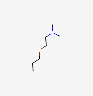 CCCSCCN(C)C